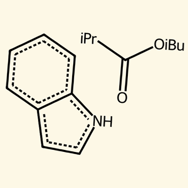 CC(C)COC(=O)C(C)C.c1ccc2[nH]ccc2c1